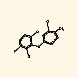 Cc1ccc(Oc2c([O])ccc(F)c2Cl)cc1Cl